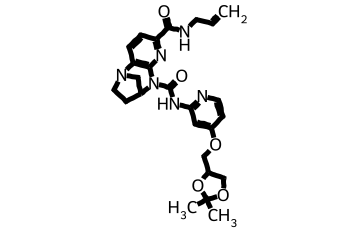 C=CCNC(=O)c1ccc2c(n1)N(C(=O)Nc1cc(OCC3COC(C)(C)O3)ccn1)C1CCN2C1